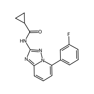 O=C(Nc1nc2cccc(-c3cccc(F)c3)n2n1)C1CC1